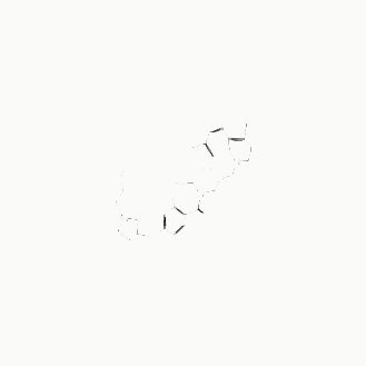 C=C(C)/C=C\C1=C(C)CCN(C[C@@H](O)CN2CCOc3cc(OC4CCN(CCOC)C4)ccc3C2=O)C1